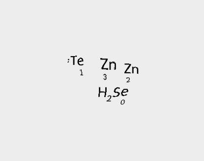 [SeH2].[Te].[Zn].[Zn]